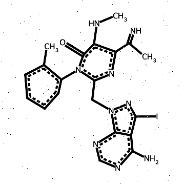 CNc1c(C(C)=N)nc(Cn2nc(I)c3c(N)ncnc32)n(-c2ccccc2C)c1=O